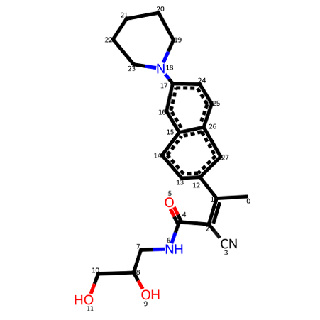 C/C(=C(\C#N)C(=O)NCC(O)CO)c1ccc2cc(N3CCCCC3)ccc2c1